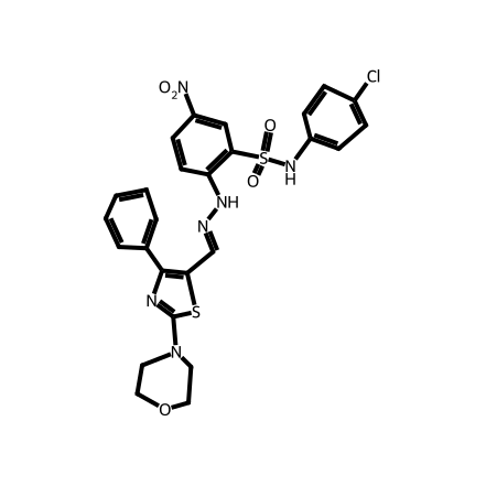 O=[N+]([O-])c1ccc(NN=Cc2sc(N3CCOCC3)nc2-c2ccccc2)c(S(=O)(=O)Nc2ccc(Cl)cc2)c1